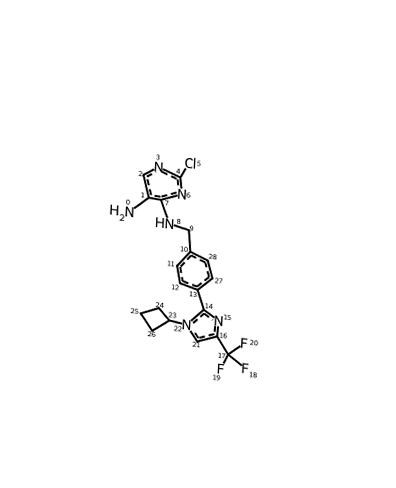 Nc1cnc(Cl)nc1NCc1ccc(-c2nc(C(F)(F)F)cn2C2CCC2)cc1